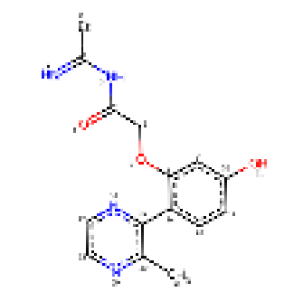 CCC(=N)NC(=O)COc1cc(O)ccc1-c1nccnc1C